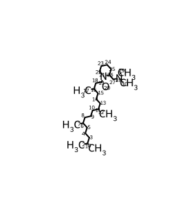 CC(C)CCCC(C)CCCC(C)CCCC(C)CC(=O)N1CCCCC1CN(C)C